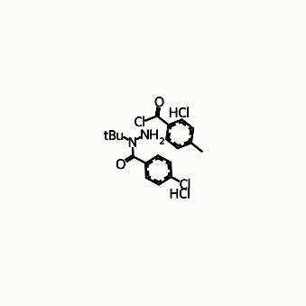 CC(C)(C)N(N)C(=O)c1ccc(Cl)cc1.Cc1ccc(C(=O)Cl)cc1.Cl.Cl